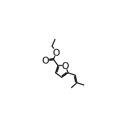 CCOC(=O)c1ccc(C=C(C)C)o1